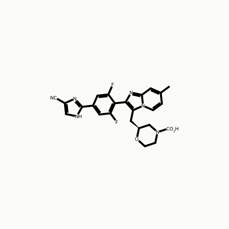 Cc1ccn2c(C[C@H]3CN(C(=O)O)CCO3)c(-c3c(F)cc(-c4nc(C#N)c[nH]4)cc3F)nc2c1